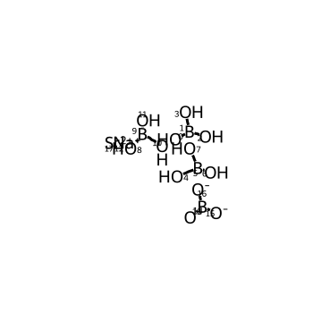 OB(O)O.OB(O)O.OB(O)O.[Na+].[O-]B([O-])[O-].[Sr+2]